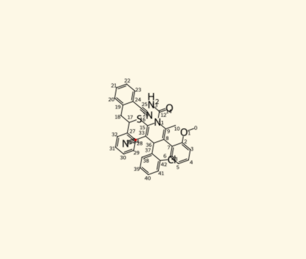 COc1ccccc1C1=C(C)N(C(N)=O)C(SC(Cc2ccccc2C#N)c2ccccc2)=C(C#N)C1c1ccccc1Cl